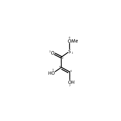 COSC(=O)/C(O)=C/O